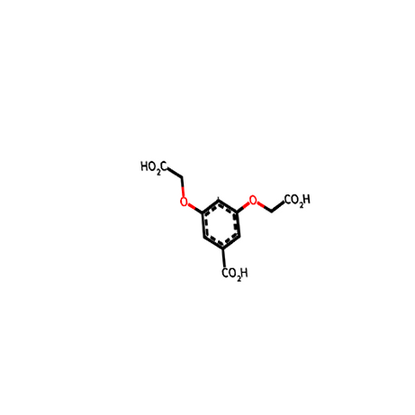 O=C(O)COc1[c]c(OCC(=O)O)cc(C(=O)O)c1